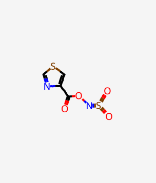 O=C(ON=S(=O)=O)c1cscn1